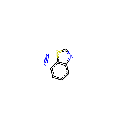 N#N.c1ccc2scnc2c1